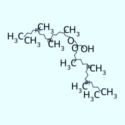 CC(C)CCC[C@@H](C)CCC[C@@H](C)CCCC(C)CCOCC(CO)OCCC(C)CCC[C@H](C)CCC[C@H](C)CCCC(C)C